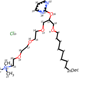 CCCCCCCCCCCCCCCCCCOCC(COCCOCCOCC[N+](C)(C)C)Oc1ncccn1.[Cl-]